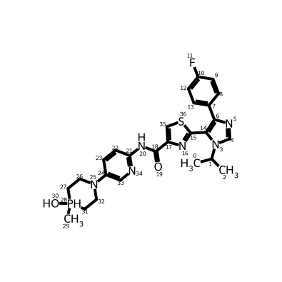 CC(C)n1cnc(-c2ccc(F)cc2)c1-c1nc(C(=O)Nc2ccc(N3CC[PH](C)(O)CC3)cn2)cs1